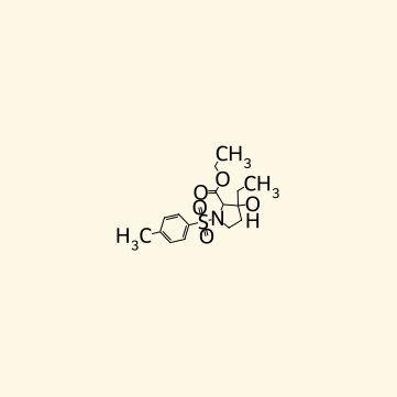 CCOC(=O)C1N(S(=O)(=O)c2ccc(C)cc2)CCC1(O)CC